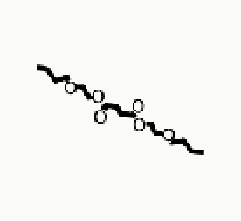 CCCCOCCOC(=O)CCC(=O)OCCOCCCC